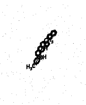 CN1CC[N+](O)([C@@H]2CCC3=CC4=CC[C@]5(C)[C@@H](c6ccc7ccccc7c6)CC[C@H]5[C@@]45CC[C@]3(C2)O5)CC1